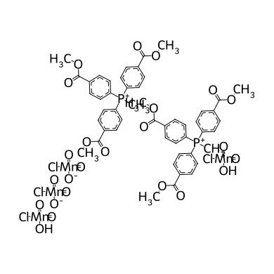 COC(=O)c1ccc([P+](C)(c2ccc(C(=O)OC)cc2)c2ccc(C(=O)OC)cc2)cc1.COC(=O)c1ccc([P+](C)(c2ccc(C(=O)OC)cc2)c2ccc(C(=O)OC)cc2)cc1.[O]=[Mn](=[O])([O-])[Cl].[O]=[Mn](=[O])([O-])[Cl].[O]=[Mn](=[O])([OH])[Cl].[O]=[Mn](=[O])([OH])[Cl]